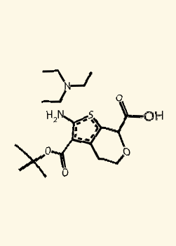 CC(C)(C)OC(=O)c1c(N)sc2c1CCOC2C(=O)O.CCN(CC)CC